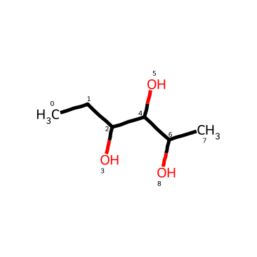 CCC(O)C(O)C(C)O